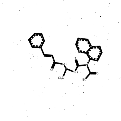 CCC(=O)N(C(=S)NC(NC(=O)/C=C/c1ccccc1)C(Cl)(Cl)Cl)c1cccc2cccnc12